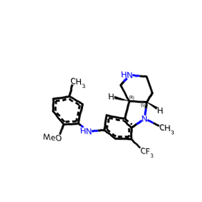 COc1ccc(C)cc1Nc1cc2c(c(C(F)(F)F)c1)N(C)[C@H]1CCNC[C@@H]21